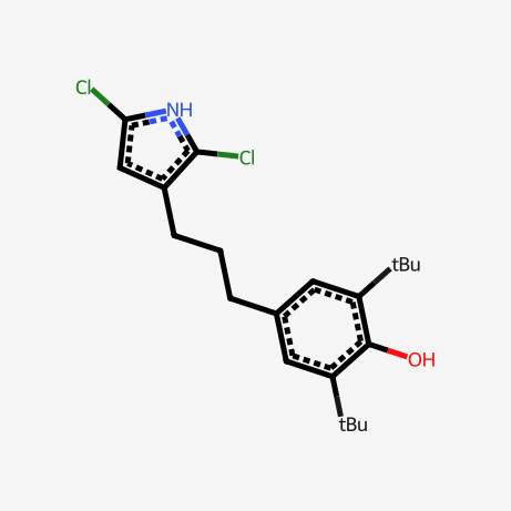 CC(C)(C)c1cc(CCCc2cc(Cl)[nH]c2Cl)cc(C(C)(C)C)c1O